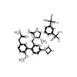 COc1ccc(CC(N)=O)cc1-c1ccc(N2CCC2)nc1CN1C(=O)O[C@H](c2cc(C(F)(F)F)cc(C(F)(F)F)c2)[C@@H]1C